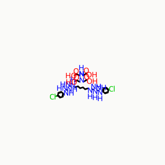 N=C(NCCCCCCNC(=N)NC(=N)Nc1ccc(Cl)cc1)NC(=N)Nc1ccc(Cl)cc1.O=C(O)CNCC(=O)O.O=C(O)CNCC(=O)O